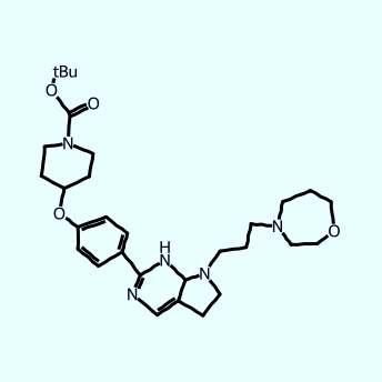 CC(C)(C)OC(=O)N1CCC(Oc2ccc(C3=NC=C4CCN(CCCN5CCCOCC5)C4N3)cc2)CC1